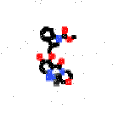 COC(=O)n1cc(COc2c3n(ccc2=O)N[C@@H]2COCCN2C3=O)c2ccccc21